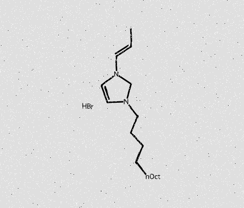 Br.CC=CN1C=CN(CCCCCCCCCCCC)C1